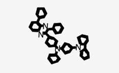 c1ccc(-c2nc3c(-c4ccccc4)cccc3nc2-c2ccc(N(c3ccccc3)c3ccc(-n4c5ccccc5c5ccccc54)cc3)cc2)cc1